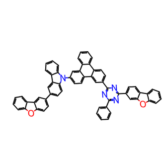 c1ccc(-c2nc(-c3ccc4c(c3)oc3ccccc34)nc(-c3ccc4c5ccccc5c5cc(-n6c7ccccc7c7cc(-c8ccc9oc%10ccccc%10c9c8)ccc76)ccc5c4c3)n2)cc1